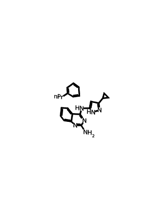 CCCc1ccccc1.Nc1nc(Nc2cc(C3CC3)n[nH]2)c2ccccc2n1